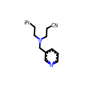 CC(C)CCN(CCC#N)Cc1cccnc1